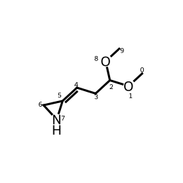 COC(CC=C1CN1)OC